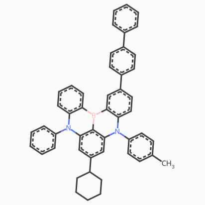 Cc1ccc(N2c3ccc(-c4ccc(-c5ccccc5)cc4)cc3B3c4ccccc4N(c4ccccc4)c4cc(C5CCCCC5)cc2c43)cc1